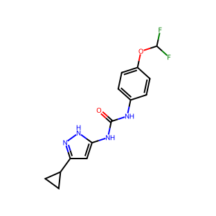 O=C(Nc1ccc(OC(F)F)cc1)Nc1cc(C2CC2)n[nH]1